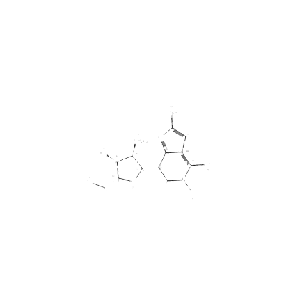 CCN1CC([C@@H]2O[C@H](CO)[C@@H](O)[C@H]2OC)C2=NC(N)=CC2=C1Cl